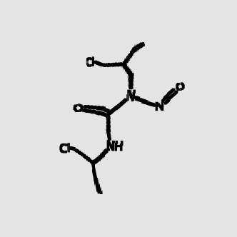 CC(Cl)NC(=O)N(N=O)C(C)Cl